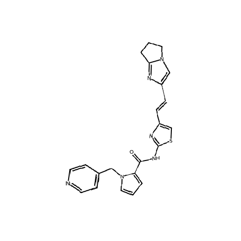 O=C(Nc1nc(C=Cc2cn3c(n2)CCC3)cs1)c1cccn1Cc1ccncc1